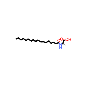 CCCCCCCCC=CCCCCCCCC(=O)N[C@@H](C)C(=O)O